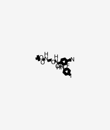 CC(C)(C)OC(=O)NCCONC(O)c1ccc(C#N)cc1Nc1ccc(I)cc1F